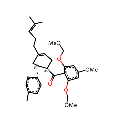 COCOc1cc(OC)cc(OCOC)c1C(=O)[C@@H]1CC=C(CCC=C(C)C)C[C@H]1c1ccc(C)cc1